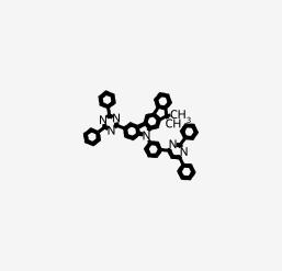 CC1(C)c2ccccc2-c2cc3c4cc(-c5nc(-c6ccccc6)nc(-c6ccccc6)n5)ccc4n(-c4cccc(-c5cc(-c6ccccc6)nc(-c6ccccc6)n5)c4)c3cc21